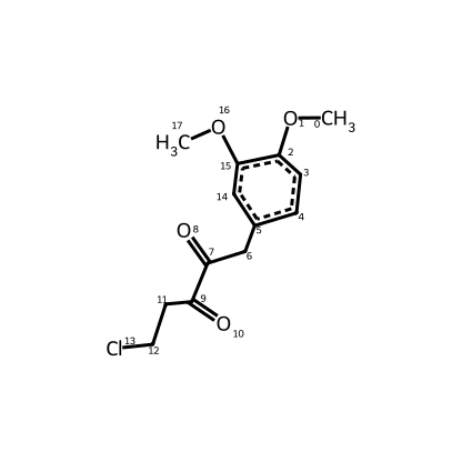 COc1ccc(CC(=O)C(=O)CCCl)cc1OC